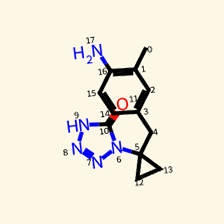 Cc1cc(CC2(n3nn[nH]c3=O)CC2)ccc1N